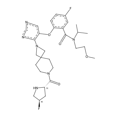 COCCN(C(=O)c1cc(F)ccc1Oc1cncnc1N1CC2(CCN(C(=O)[C@@H]3C[C@@H](F)CN3)CC2)C1)C(C)C